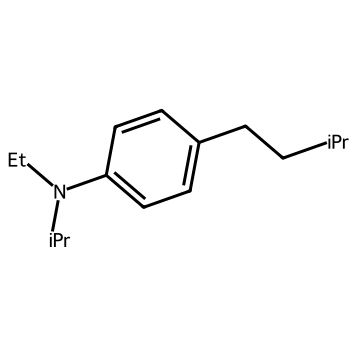 CCN(c1ccc(CCC(C)C)cc1)C(C)C